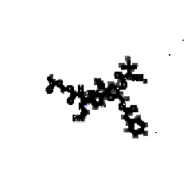 CC(=O)OCOC(=O)N/C(=N/C=N)c1ccc([C@@]2(C#N)C[C@H](OC(=O)[C@@H](N)C(C)(C)C)[C@@H](COC(=O)Cc3ccccc3)O2)[nH]1